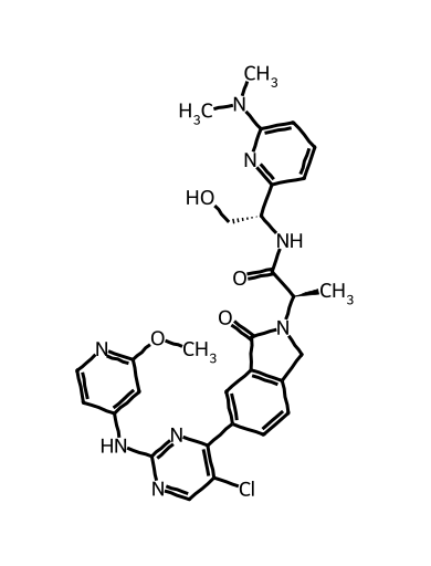 COc1cc(Nc2ncc(Cl)c(-c3ccc4c(c3)C(=O)N([C@H](C)C(=O)N[C@H](CO)c3cccc(N(C)C)n3)C4)n2)ccn1